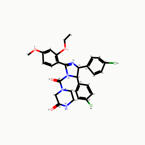 CCOc1cc(OC)ccc1C1=NC(c2ccc(Cl)cc2)C(c2ccc(Cl)cc2)N1C(=O)N1CCNC(=O)C1